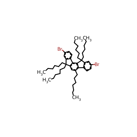 CCCCCCCc1cc2c(c3c1-c1ccc(Br)cc1C3(CCCCCC)CCCCCC)-c1ccc(Br)cc1C2(CCCCCC)CCCCCC